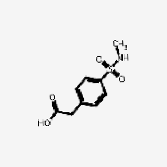 CNS(=O)(=O)c1ccc(CC(=O)O)cc1